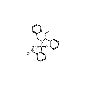 CC[C@H](c1ccccc1)N(Cc1ccccc1)S(=O)(=O)c1ccccc1[N+](=O)[O-]